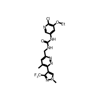 CCOc1cc(NC(=O)NCc2cc(C)c(-c3cn(C)nc3C(F)(F)F)nn2)cnc1Cl